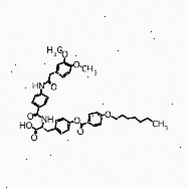 CCCCCCCOc1ccc(C(=O)Oc2ccc(C[C@H](NC(=O)c3ccc(NC(=O)Cc4ccc(OC)c(OC)c4)cc3)C(=O)O)cc2)cc1